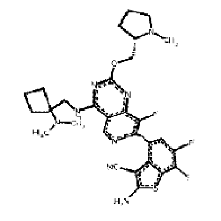 CN1CCC[C@H]1COc1nc(NCC2(N(C)C)CCC2)c2cnc(-c3cc(F)c(F)c4sc(N)c(C#N)c34)c(F)c2n1